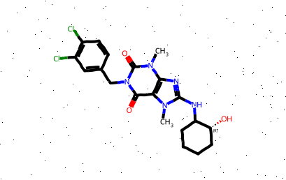 Cn1c(NC2CCCC[C@H]2O)nc2c1c(=O)n(Cc1ccc(Cl)c(Cl)c1)c(=O)n2C